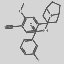 COc1cc(CN2C3CCC2CC(NC(=O)c2cccc(F)c2)C3)ccc1C#N